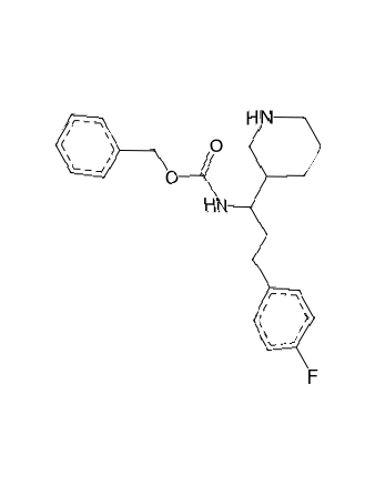 O=C(NC(CCc1ccc(F)cc1)C1CCCNC1)OCc1ccccc1